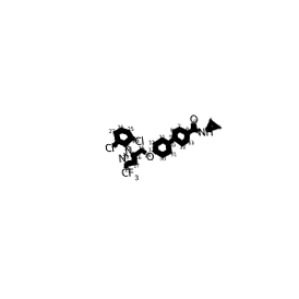 O=C(NC1CC1)c1ccc(-c2ccc(OCc3cc(C(F)(F)F)nn3-c3c(Cl)cccc3Cl)cc2)cc1